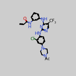 C=CC(=O)Nc1cccc(Nc2nc(Nc3ccc(N4CCN(C(C)=O)CC4)cc3Cl)ncc2C(F)(F)F)c1